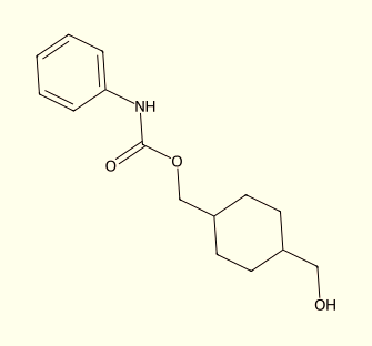 O=C(Nc1ccccc1)OCC1CCC(CO)CC1